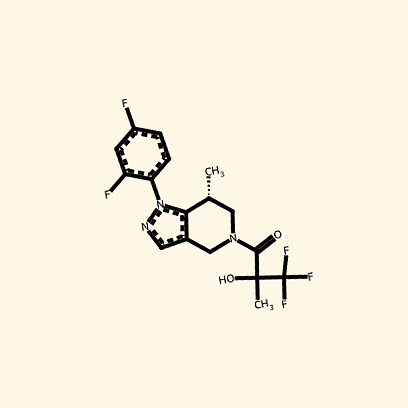 C[C@@H]1CN(C(=O)C(C)(O)C(F)(F)F)Cc2cnn(-c3ccc(F)cc3F)c21